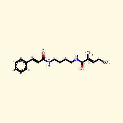 CC(=O)OC/C=C(\C)C(=O)NCCCCNC(=O)C=Cc1ccccc1